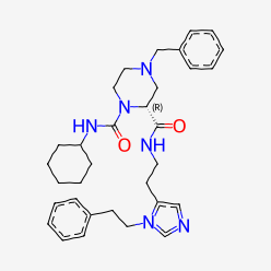 O=C(NCCc1cncn1CCc1ccccc1)[C@H]1CN(Cc2ccccc2)CCN1C(=O)NC1CCCCC1